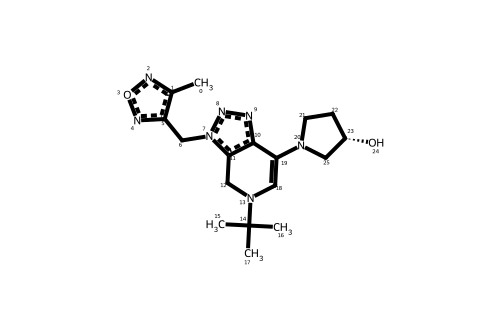 Cc1nonc1Cn1nnc2c1CN(C(C)(C)C)C=C2N1CC[C@H](O)C1